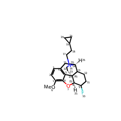 COc1ccc2c3c1O[C@@H]1C(F)CCC4[C@H](C2)N(CCC2CC2)CC[C@]341